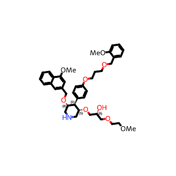 COCCOC[C@@H](O)CO[C@@H]1CNC[C@H](OCc2cc(OC)c3ccccc3c2)[C@H]1c1ccc(OCCCOCc2ccccc2OC)cc1